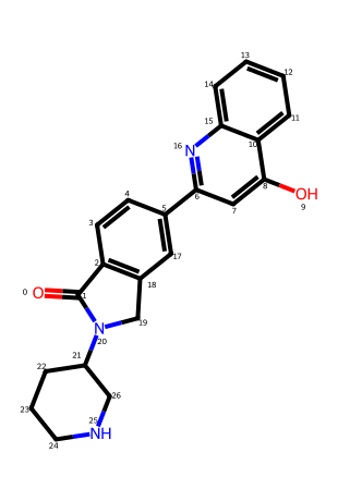 O=C1c2ccc(-c3cc(O)c4ccccc4n3)cc2CN1C1CCCNC1